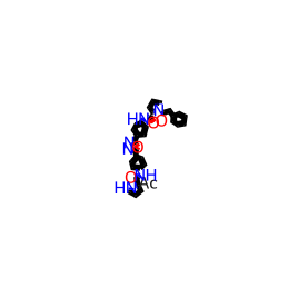 CC(=O)C1(C(=O)Nc2ccc(-c3nnc(-c4ccc(NC(=O)[C@@H]5CCCN5C(=O)Cc5ccccc5)cc4)o3)cc2)CCCN1